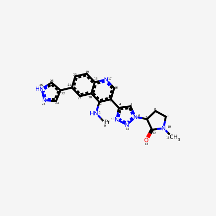 CC(C)Nc1c(-c2cn(C3CCN(C)C3=O)nn2)cnc2ccc(-c3cn[nH]c3)cc12